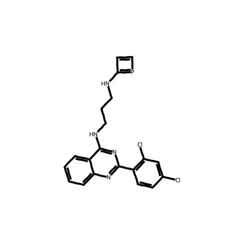 Clc1ccc(-c2nc(NCCCNC3=PC=C3)c3ccccc3n2)c(Cl)c1